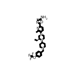 CC[C@H]1CN(c2ccc(-c3nnc(N)o3)nc2C)CCN1C1CCN(Cc2ccc(OC(F)(F)F)cc2)CC1